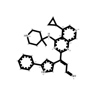 CC1(Nc2nc(/C(=C/C=N)c3c[nH]c(-c4ccccc4)c3)nc3cncc(C4CC4)c23)CCNCC1